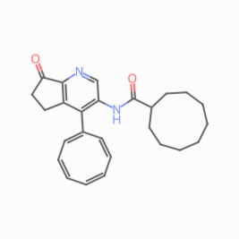 O=C1CCc2c1ncc(NC(=O)C1CCCCCCCC1)c2C1=C/C=C\C=C/C=C\1